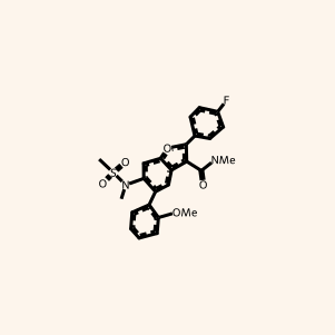 CNC(=O)c1c(-c2ccc(F)cc2)oc2cc(N(C)S(C)(=O)=O)c(-c3ccccc3OC)cc12